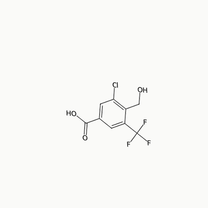 O=C(O)c1cc(Cl)c(CO)c(C(F)(F)F)c1